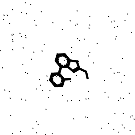 CCC1=Cc2c(cccc2-c2ccccc2C)[CH]1